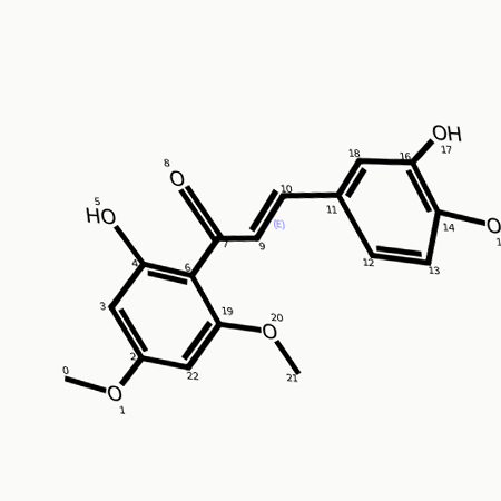 COc1cc(O)c(C(=O)/C=C/c2ccc(O)c(O)c2)c(OC)c1